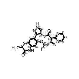 CC1Sc2cc(-c3n[nH]cc3NC(=O)c3cnn4cccnc34)c(OC(F)F)cc2NC1=O